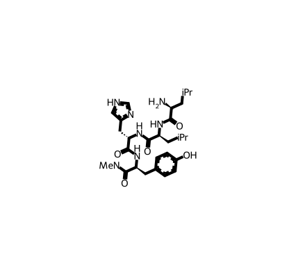 CNC(=O)[C@H](Cc1ccc(O)cc1)NC(=O)[C@H](Cc1c[nH]cn1)NC(=O)[C@H](CC(C)C)NC(=O)[C@@H](N)CC(C)C